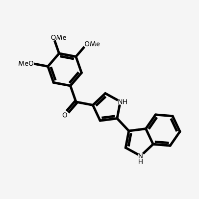 COc1cc(C(=O)c2c[nH]c(-c3c[nH]c4ccccc34)c2)cc(OC)c1OC